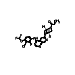 C=CC(=O)N1C[C@@H]2C[C@H]1CN2c1cc2c(Nc3ccc(OC(F)F)c(Cl)c3F)ncnc2cn1